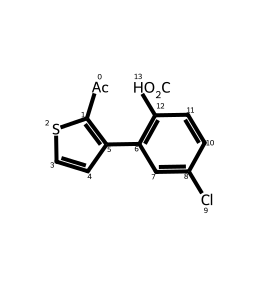 CC(=O)c1sccc1-c1cc(Cl)ccc1C(=O)O